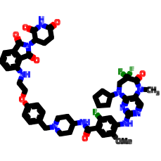 COc1cc(C(=O)NC2CCN(Cc3ccc(OCCNc4cccc5c4C(=O)N(C4CCC(=O)NC4=O)C5=O)cc3)CC2)c(F)cc1Nc1ncc2c(n1)N(C1CCCC1)CC(F)(F)C(=O)N2C